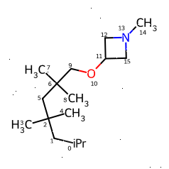 CC(C)CC(C)(C)CC(C)(C)COC1CN(C)C1